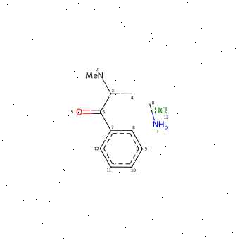 CN.CNC(C)C(=O)c1ccccc1.Cl